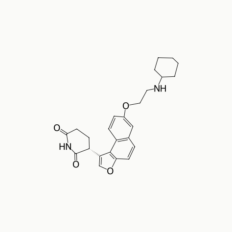 O=C1CC[C@H](c2coc3ccc4cc(OCCNC5CCCCC5)ccc4c23)C(=O)N1